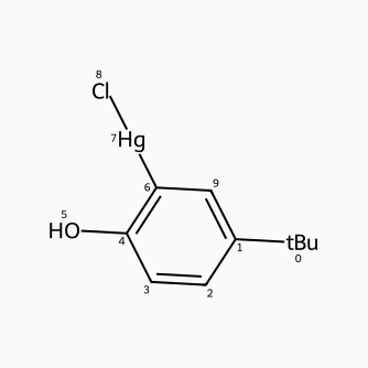 CC(C)(C)c1ccc(O)[c]([Hg][Cl])c1